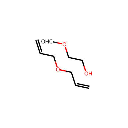 C=CCOCC=C.O=COCCO